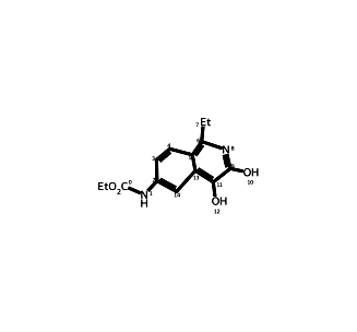 CCOC(=O)Nc1ccc2c(CC)nc(O)c(O)c2c1